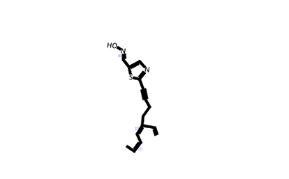 C=C/C(=C\C=C/C)CCC#Cc1ncc(/C=N/O)s1